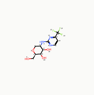 OC[C@H]1OC[C@@H](Nc2nccc(C(F)(F)F)n2)[C@@H](O)[C@H]1O